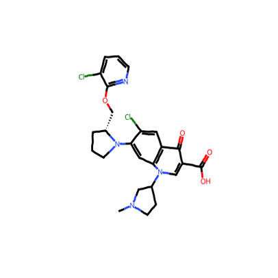 CN1CCC(n2cc(C(=O)O)c(=O)c3cc(Cl)c(N4CCC[C@@H]4COc4ncccc4Cl)cc32)C1